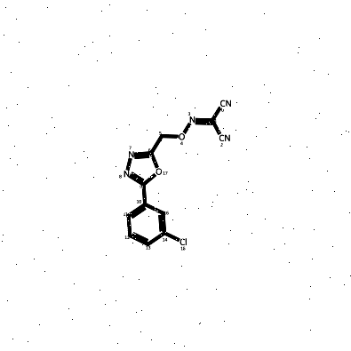 N#CC(C#N)=NOCc1nnc(-c2cccc(Cl)c2)o1